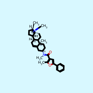 Cc1oc(-c2ccccc2)cc1C(=O)N(C)[C@H]1CC[C@@]2(C)C(=CC[C@@H]3C2CC[C@]24CN(C)[C@@H](C)[C@H]2CC[C@@H]34)C1